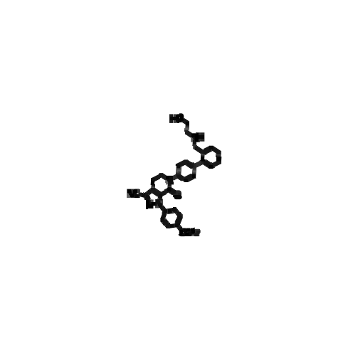 COc1ccc(-n2nc(C#N)c3c2C(=O)N(c2ccc(-c4ccccc4CNCCO)cc2)CC3)cc1